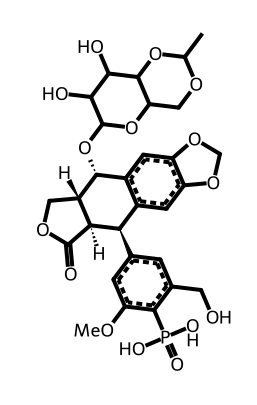 COc1cc([C@@H]2c3cc4c(cc3[C@@H](OC3OC5COC(C)OC5C(O)C3O)[C@H]3COC(=O)[C@H]23)OCO4)cc(CO)c1P(=O)(O)O